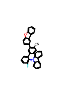 N#Cc1ccc(-c2cccc(F)c2-n2c3ccccc3c3ccccc32)cc1-c1ccc2oc3ccccc3c2c1